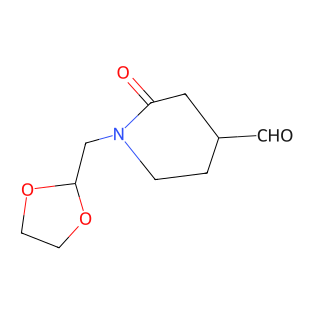 O=CC1CCN(CC2OCCO2)C(=O)C1